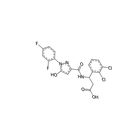 O=C(O)CC(NC(=O)c1cc(O)n(-c2ccc(F)cc2F)n1)c1cccc(Cl)c1Cl